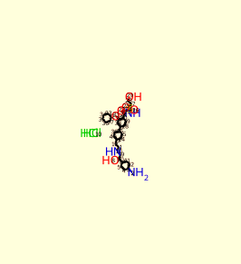 Cl.Cl.Nc1ccc([C@@H](O)CNCCc2ccc(-c3ccc(C(=O)NS(=O)(=O)CCO)c(OC4CCCCC4)c3)cc2)cc1